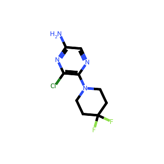 Nc1cnc(N2CCC(F)(F)CC2)c(Cl)n1